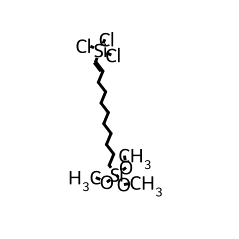 CO[Si](CCCCCCCCCC=C[Si](Cl)(Cl)Cl)(OC)OC